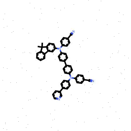 CC1(C)c2ccccc2-c2cc(N(c3ccc(C#N)cc3)c3ccc(-c4ccc(N(c5ccc(C#N)cc5)c5ccc(-c6cccnc6)cc5)cc4)cc3)ccc21